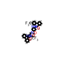 O=C(Nc1ccc2c(c1)oc(=O)n2CCCC1(C(=O)NCC(F)(F)F)c2ccccc2-c2ccccc21)c1ccccc1-c1ccc(C(F)(F)F)cc1